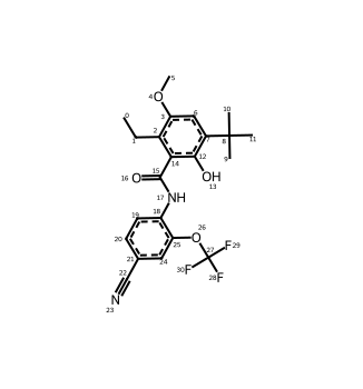 CCc1c(OC)cc(C(C)(C)C)c(O)c1C(=O)Nc1ccc(C#N)cc1OC(F)(F)F